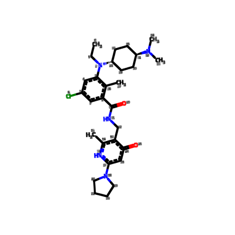 CCN(c1cc(Cl)cc(C(=O)NCc2c(C)[nH]c(N3CCCC3)cc2=O)c1C)[C@H]1CC[C@H](N(C)C)CC1